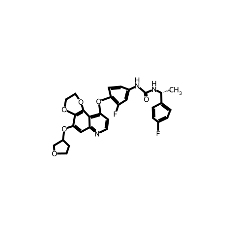 C[C@@H](NC(=O)Nc1ccc(Oc2ccnc3cc(OC4CCOC4)c4c(c23)OCCO4)c(F)c1)c1ccc(F)cc1